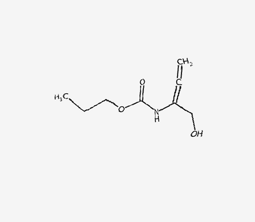 C=C=C(CO)NC(=O)OCCC